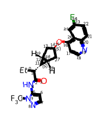 CCC(C(=O)Nc1ccnn1C(F)(F)F)[C@@H]1[C@@H]2C[C@@H](Oc3ccnc4ccc(F)cc34)C[C@@H]21